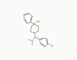 CN(C)C(c1ccc(Cl)cc1)C1CCC(O)(c2ccccc2)CC1